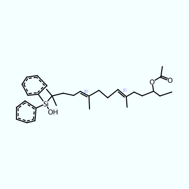 CCC(CC/C(C)=C/CC/C(C)=C/CCC(C)(C)[Si](O)(c1ccccc1)c1ccccc1)OC(C)=O